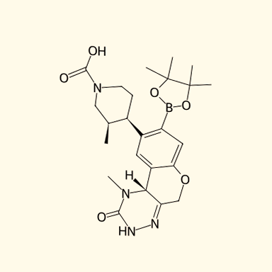 C[C@H]1CN(C(=O)O)CC[C@H]1c1cc2c(cc1B1OC(C)(C)C(C)(C)O1)OCC1=NNC(=O)N(C)[C@@H]12